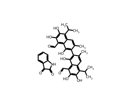 Cc1cc2c(C(C)C)c(O)c(O)c(C=O)c2c(O)c1-c1c(C)cc2c(C(C)C)c(O)c(O)c(C=O)c2c1O.O=C1Nc2ccccc2C1=O